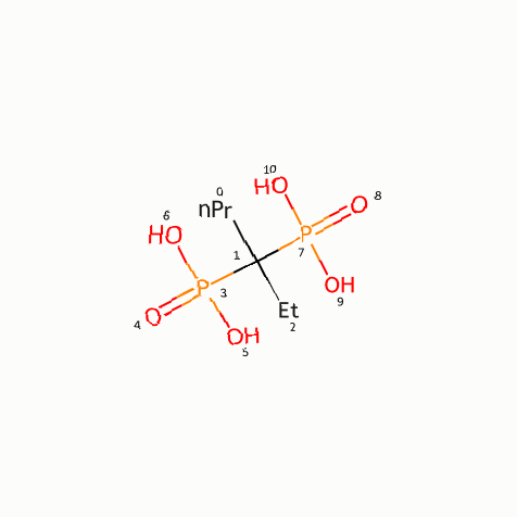 [CH2]CCC(CC)(P(=O)(O)O)P(=O)(O)O